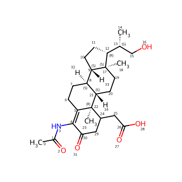 CC(=O)NC1=C2CC[C@H]3[C@@H]4CC[C@H]([C@H](C)CO)[C@@]4(C)CC[C@@H]3[C@@]2(C)C(CC(=O)O)CC1=O